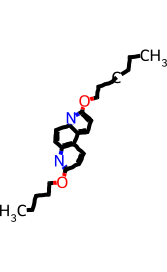 CCCCCCCOc1ccc2c(ccc3nc(OCCCCC)ccc32)n1